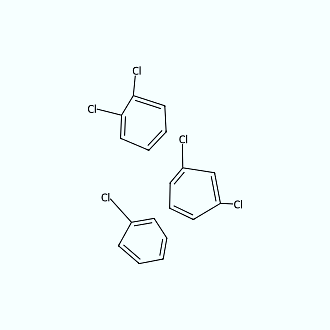 Clc1cccc(Cl)c1.Clc1ccccc1.Clc1ccccc1Cl